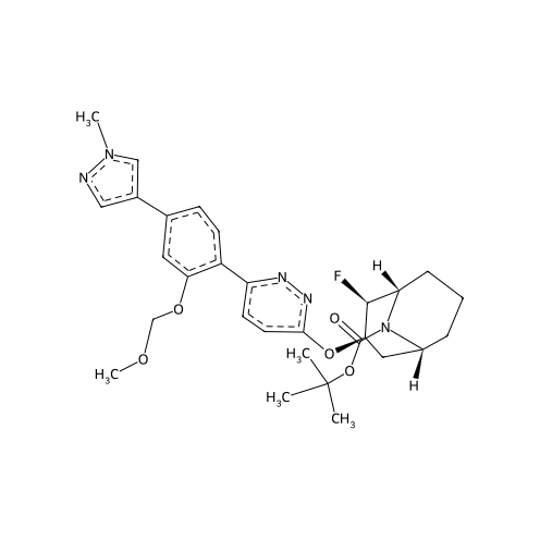 COCOc1cc(-c2cnn(C)c2)ccc1-c1ccc(O[C@@H]2C[C@H]3CCC[C@@H]([C@@H]2F)N3C(=O)OC(C)(C)C)nn1